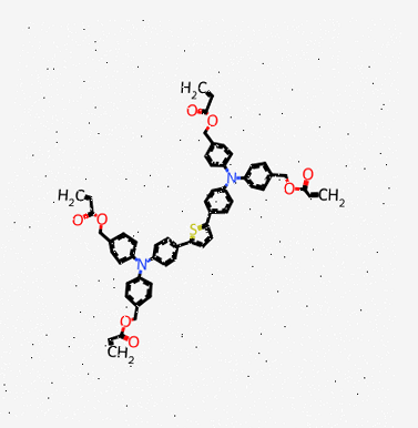 C=CC(=O)OCc1ccc(N(c2ccc(COC(=O)C=C)cc2)c2ccc(-c3ccc(-c4ccc(N(c5ccc(COC(=O)C=C)cc5)c5ccc(COC(=O)C=C)cc5)cc4)s3)cc2)cc1